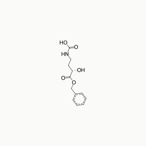 O=C(O)NCC[C@H](O)C(=O)OCc1ccccc1